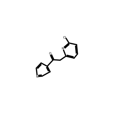 O=C(Cc1cccc(Cl)n1)c1ccncc1